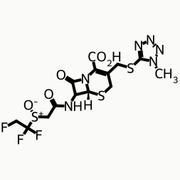 Cn1nnnc1SCC1=C(C(=O)O)N2C(=O)C(NC(=O)C[S+]([O-])C(F)(F)CF)[C@H]2SC1